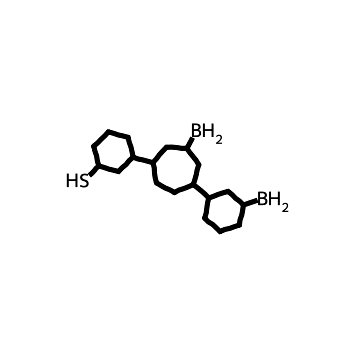 BC1CCCC(C2CCC(C3CCCC(S)C3)CC(B)C2)C1